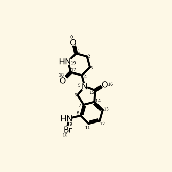 O=C1CCC(N2Cc3c(NBr)cccc3C2=O)C(=O)N1